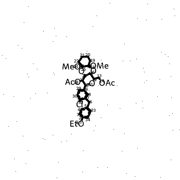 CCOc1ccc(Cc2cc(C3OC(COC(C)=O)C4OC5(OC)CCCCC5(OC)OC4C3OC(C)=O)ccc2Cl)cc1